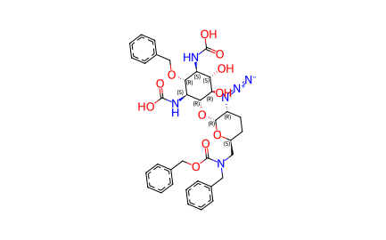 [N-]=[N+]=N[C@@H]1CC[C@@H](CN(Cc2ccccc2)C(=O)OCc2ccccc2)O[C@@H]1O[C@H]1[C@H](O)[C@@H](O)[C@H](NC(=O)O)[C@@H](OCc2ccccc2)[C@@H]1NC(=O)O